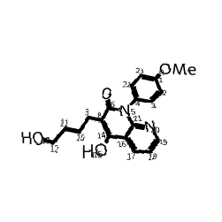 COc1ccc(-n2c(=O)c(CCCCO)c(O)c3cccnc32)cc1